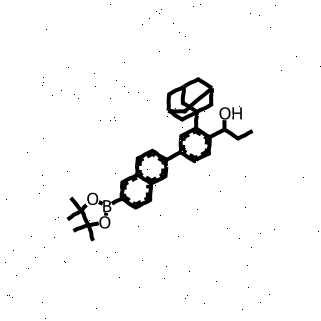 CCC(O)c1ccc(-c2ccc3cc(B4OC(C)(C)C(C)(C)O4)ccc3c2)cc1C12CC3CC(CC(C3)C1)C2